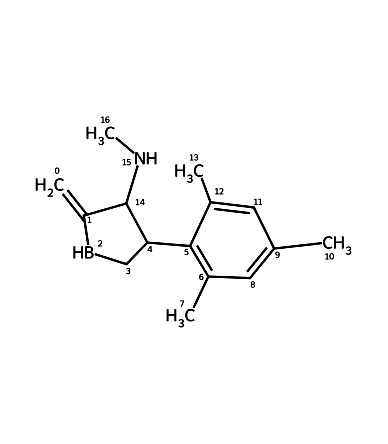 C=C1BCC(c2c(C)cc(C)cc2C)C1NC